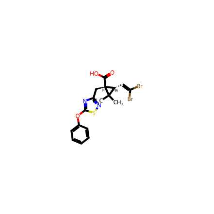 CC1(C)[C@@H](C=C(Br)Br)[C@@]1(Cc1nsc(Oc2ccccc2)n1)C(=O)O